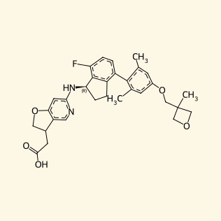 Cc1cc(OCC2(C)COC2)cc(C)c1-c1ccc(F)c2c1CC[C@H]2Nc1cc2c(cn1)C(CC(=O)O)CO2